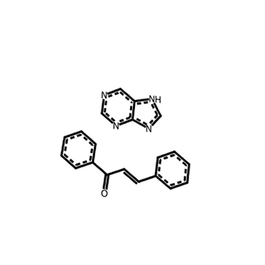 O=C(C=Cc1ccccc1)c1ccccc1.c1ncc2[nH]cnc2n1